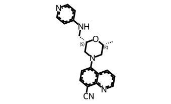 C[C@@H]1CN(c2ccc(C#N)c3ncccc23)C[C@H](CNc2ccncc2)O1